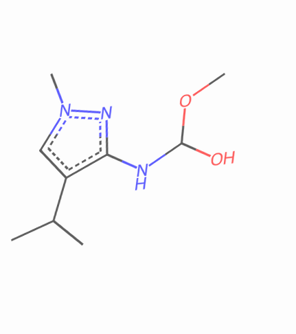 COC(O)Nc1nn(C)cc1C(C)C